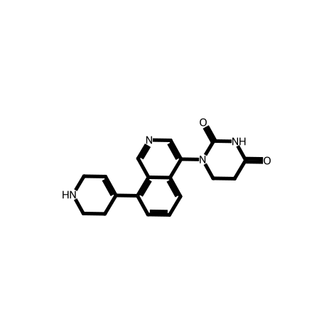 O=C1CCN(c2cncc3c(C4=CCNCC4)cccc23)C(=O)N1